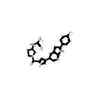 O=C(c1cc(-c2cnc3[nH]c(-c4ccc(F)cc4)cc3c2)cs1)N1CCC(NC(=O)C(F)(F)F)C1